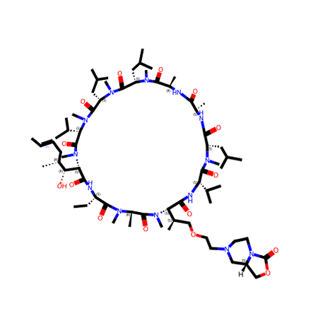 C/C=C/C[C@@H](C)[C@@H](O)[C@H]1C(=O)N[C@@H](CC)C(=O)N(C)[C@H](C)C(=O)N(C)[C@@H]([C@H](C)COCCN2CCN3C(=O)OC[C@@H]3C2)C(=O)N[C@@H](C(C)C)C(=O)N(C)[C@@H](CC(C)C)C(=O)N[C@@H](C)C(=O)N[C@H](C)C(=O)N(C)[C@@H](CC(C)C)C(=O)N(C)[C@@H](CC(C)C)C(=O)N(C)[C@@H](C(C)C)C(=O)N1C